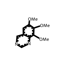 COc1cc2cncnc2c(OC)c1OC